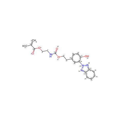 C=C(C)C(=O)OCCNC(=O)OCCc1ccc(O)c(-n2nc3ccccc3n2)c1